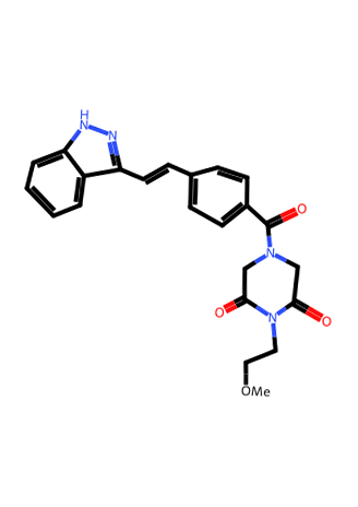 COCCN1C(=O)CN(C(=O)c2ccc(C=Cc3n[nH]c4ccccc34)cc2)CC1=O